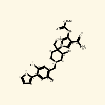 COC(=O)Nc1nn(C2(CC#N)CCN(Cc3cc(O)c(-c4ccco4)cc3F)CC2F)cc1C(N)=O